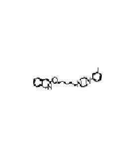 Cc1cccc(N2CCN(CCCCCOc3cc4ccccc4cn3)CC2)c1